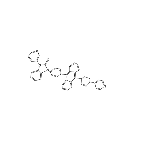 O=c1n(-c2ccccc2)c2ccccc2n1-c1ccc(-c2c3ccccc3c(-c3ccc(-c4ccncc4)cc3)c3ccccc23)cc1